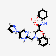 O=C(N[C@H]1CCCC[C@@H]1O)C1CN(Cc2ncc(-n3cccn3)cn2)c2ccccc2O1